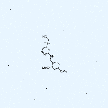 COC1=CC(OC)=C(CNc2cc(C(C)(C)CO)cnn2)CC1